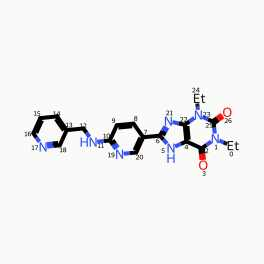 CCn1c(=O)c2[nH]c(-c3ccc(NCc4cccnc4)nc3)nc2n(CC)c1=O